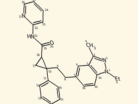 CCn1nc(C)c2cc(CCC3(c4ccccc4)CC3C(=O)Nc3ccccn3)ccc21